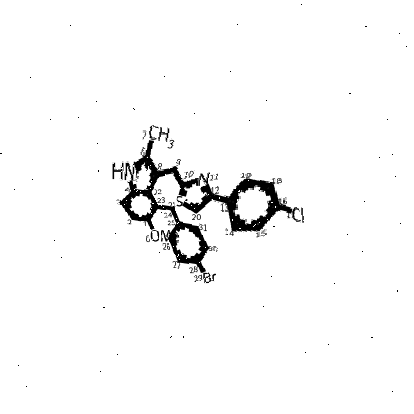 COc1ccc2[nH]c(C)c(Cc3nc(-c4ccc(Cl)cc4)cs3)c2c1Cc1ccc(Br)cc1